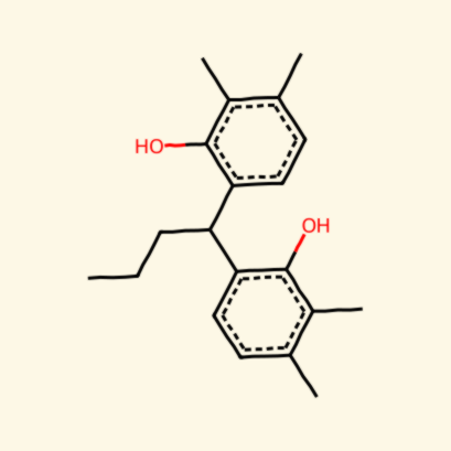 CCCC(c1ccc(C)c(C)c1O)c1ccc(C)c(C)c1O